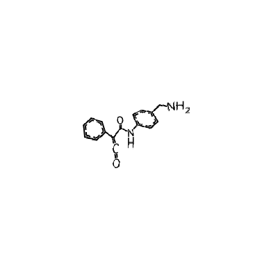 NCc1ccc(NC(=O)C(=C=O)c2ccccc2)cc1